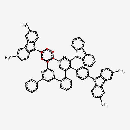 Cc1ccc2c(c1)c1cc(C)ccc1n2-c1ccc(-c2cc(-c3ccccc3-c3cc(-c4ccccc4)nc(-c4ccccc4)c3)c(-c3ccc(-n4c5ccc(C)cc5c5cc(C)ccc54)cc3)c(-n3c4ccccc4c4ccccc43)n2)cc1